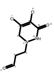 O=[C]CCN1CC(Cl)=C(Cl)C(=O)N1